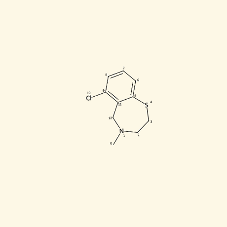 CN1CCSc2cccc(Cl)c2C1